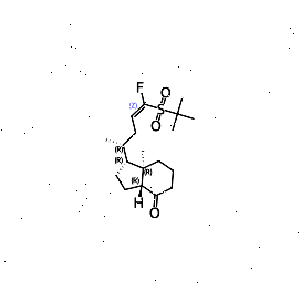 C[C@H](C/C=C(/F)S(=O)(=O)C(C)(C)C)[C@H]1CC[C@H]2C(=O)CCC[C@]12C